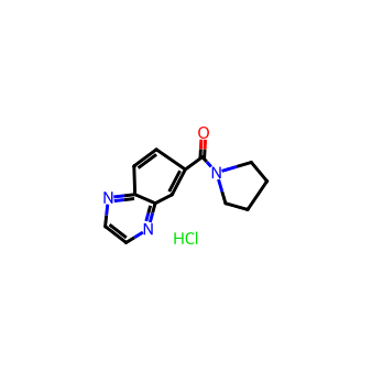 Cl.O=C(c1ccc2nccnc2c1)N1CCCC1